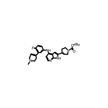 CN1CC=C(c2cc(Nc3ccnc4[nH]c(C5=CCN(C(=O)OC(C)(C)C)CC5)cc34)ccc2F)CC1